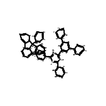 C1=CCC2C(=C1)c1cccc(-c3ccc(-c4nc(-c5ccccc5)nc(-c5cc(-c6ccccc6)cc(-c6ccccc6)c5)n4)cc3)c1C2(c1ccccc1)c1ccccc1